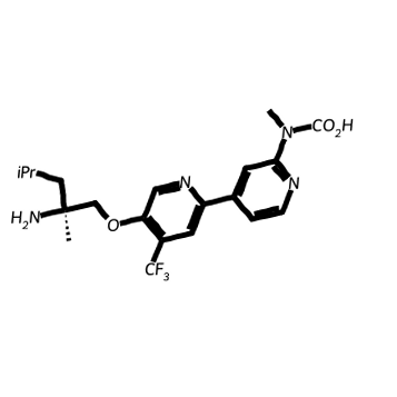 CC(C)C[C@](C)(N)COc1cnc(-c2ccnc(N(C)C(=O)O)c2)cc1C(F)(F)F